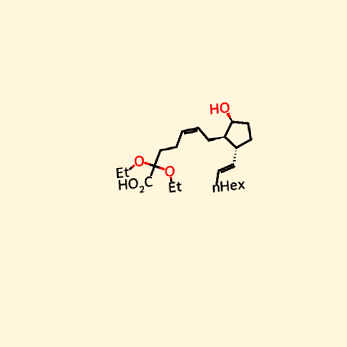 CCCCCC/C=C/[C@H]1CC[C@H](O)[C@@H]1C/C=C\CCC(OCC)(OCC)C(=O)O